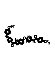 CC(C)Oc1ccc(CN2CCN(C(=O)c3cc4ccc(Oc5ncc(N(C)C(=O)c6ccc(C(F)(F)F)cc6)cn5)cc4n3C)CC2)cc1